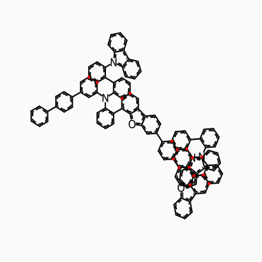 c1ccc(-c2ccc(-c3cccc(N(c4ccccc4-c4ccccc4-n4c5ccccc5c5ccccc54)c4ccccc4-c4cccc5c4oc4cc(-c6ccc(-c7cccc(-c8ccccc8N(c8ccccc8-c8ccccc8-n8c9ccccc9c9ccccc98)c8ccccc8-c8cccc9c8oc8ccccc89)c7)cc6)ccc45)c3)cc2)cc1